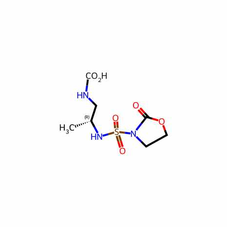 C[C@H](CNC(=O)O)NS(=O)(=O)N1CCOC1=O